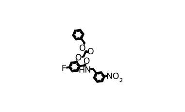 O=C(COc1cc(F)ccc1C(=O)NCc1cccc([N+](=O)[O-])c1)OCc1ccccc1